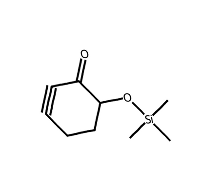 C[Si](C)(C)OC1CCC#CC1=O